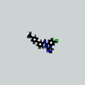 CN(c1cc(-c2ccc(C3CC3)cc2)ccc1F)c1nc2nncn2c2cc(Cl)ccc12